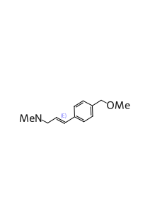 CNC/C=C/c1ccc(COC)cc1